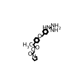 CC(C(=O)OCC(=O)N1CCCC1)c1ccc(OCc2ccc(NC(=N)N)cc2)cc1